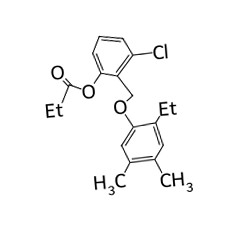 CCC(=O)Oc1cccc(Cl)c1COc1cc(C)c(C)cc1CC